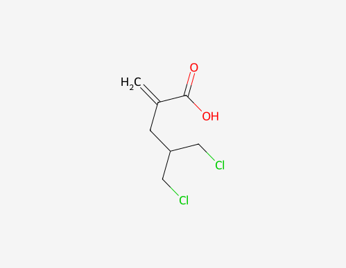 C=C(CC(CCl)CCl)C(=O)O